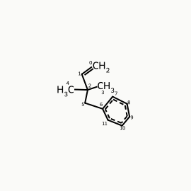 C=CC(C)(C)Cc1ccccc1